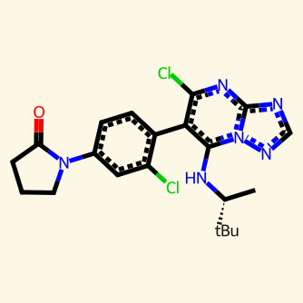 C[C@@H](Nc1c(-c2ccc(N3CCCC3=O)cc2Cl)c(Cl)nc2ncnn12)C(C)(C)C